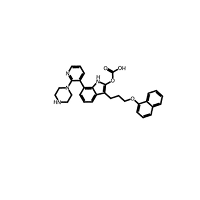 O=C(O)Oc1[nH]c2c(-c3cccnc3N3CCNCC3)cccc2c1CCCOc1cccc2ccccc12